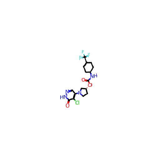 O=C(NC1CCC(C(F)(F)F)CC1)O[C@@H]1CCN(c2cn[nH]c(=O)c2Cl)C1